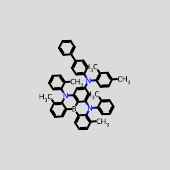 Cc1ccc(N(c2ccc(-c3ccccc3)cc2)c2cc3c4c(c2)N(c2ccccc2C)c2c(C)cccc2B4c2cccc(C)c2N3c2ccccc2C)c(C)c1